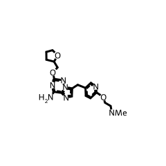 CNCCOc1ccc(Cc2cnc3c(N)nc(OCC4CCCO4)nn23)cn1